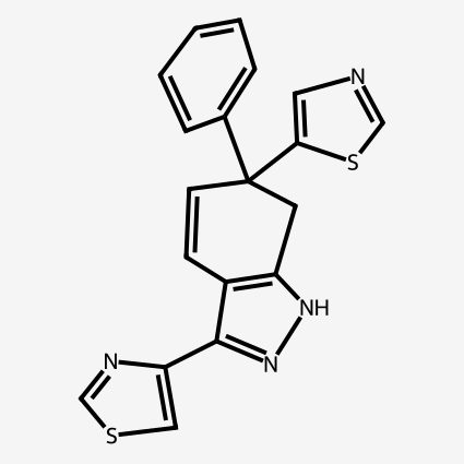 C1=CC(c2ccccc2)(c2cncs2)Cc2[nH]nc(-c3cscn3)c21